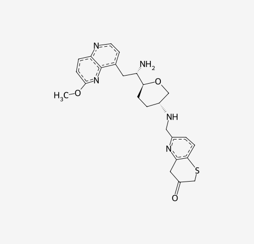 COc1ccc2nccc(C[C@H](N)[C@@H]3CC[C@@H](NCc4ccc5c(n4)CC(=O)CS5)CO3)c2n1